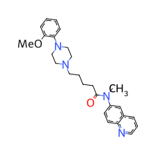 COc1ccccc1N1CCN(CCCCC(=O)N(C)c2ccc3ncccc3c2)CC1